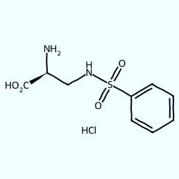 Cl.N[C@@H](CNS(=O)(=O)c1ccccc1)C(=O)O